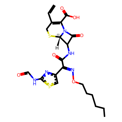 C=CC1=C(C(=O)O)N2C(=O)C(NC(=O)C(=NOCCCCCC)c3csc(NC=O)n3)[C@@H]2SC1